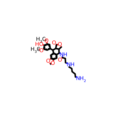 COc1cc(C2c3cc4c(cc3C(NC(=O)CCNCCCCCN)C3COC(=O)C23)OCO4)cc(OC)c1O